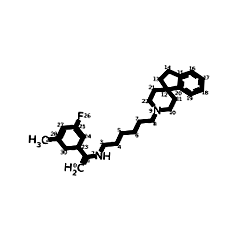 C=C(NCCCCCCN1CCC2(CCc3ccccc32)CC1)C1C=C(F)C=C(C)C1